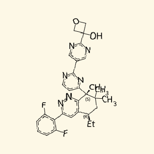 CC[C@@H]1CC(C)(C)[C@@](C)(c2ccnc(-c3cnc(C4(O)COC4)nc3)n2)c2nnc(-c3c(F)cccc3F)cc21